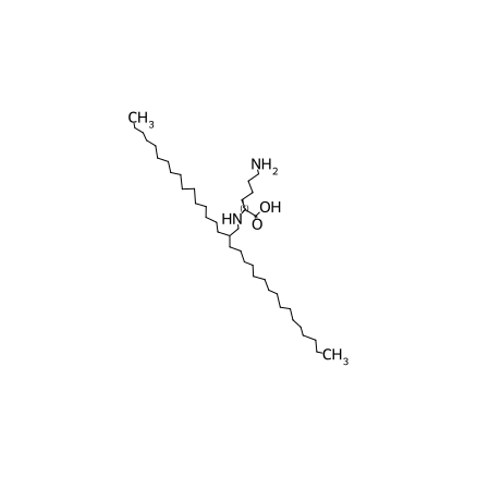 CCCCCCCCCCCCCCCCC(CCCCCCCCCCCCCCCC)CN[C@@H](CCCCN)C(=O)O